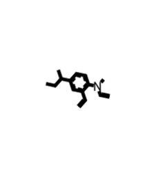 C=Cc1cc(C(C)CC)ccc1N(C)C=C